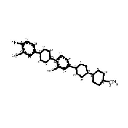 CC1CCC(C2CCC(c3ccc(C4CCC(c5ccc(F)c(F)c5)CC4)c(F)c3)CC2)CC1